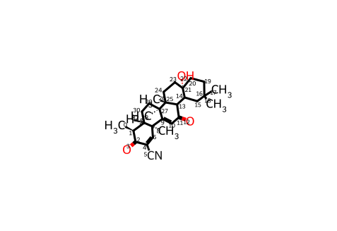 C[C@@H]1C(=O)C(C#N)=C[C@]2(C)C3=CC(=O)C4C5CC(C)(C)CC[C@]5(O)CC[C@@]4(C)[C@]3(C)CC[C@@H]12